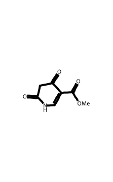 COC(=O)C1=CNC(=O)CC1=O